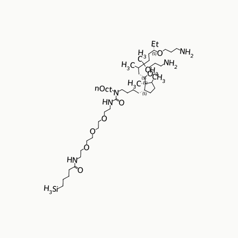 CCCCCCCCN(CCCC[C@H]1CCC(C)[C@]1(C)[C@H](CC(C)C(C)(C)CC[C@H](CC)OCCCN)OCCCN)C(=O)NCCOCCOCCOCCNC(=O)CCCC[SiH3]